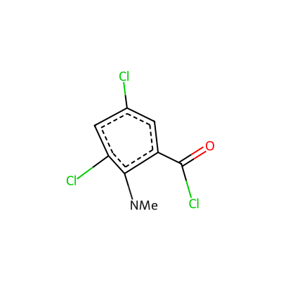 CNc1c(Cl)cc(Cl)cc1C(=O)Cl